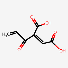 C=CC(=O)C(=CC(=O)O)C(=O)O